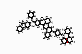 CC1(C)c2ccccc2-c2ccc(N(c3ccccc3)c3ccc4c(c3)Oc3cccc5c3c-4cc3c4ccccc4c(-c4ccc(N(c6ccccc6)c6ccccc6-c6ccccc6)cc4)cc53)cc21